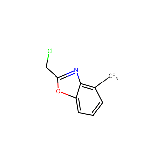 FC(F)(F)c1cccc2oc(CCl)nc12